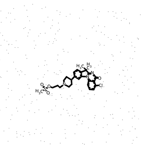 CC1(C)c2ccc(C3CCN(CCCOS(C)(=O)=O)CC3)cc2-n2c1nc(=O)c1c(Cl)cccc12